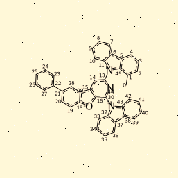 Cc1cccc2c3ccccc3n(-c3cc4c(oc5ccc(-c6ccccc6)cc54)c(-n4c5ccccc5c5ccccc54)n3)c12